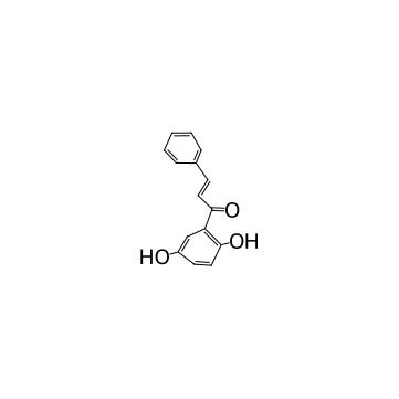 O=C(C=Cc1ccccc1)c1cc(O)ccc1O